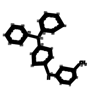 Cc1cccc(Nc2ccc(N(c3ccccc3)c3ccccc3)cc2)c1